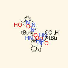 CC(C)(O)c1cccc(CN2CCN([C@H](C(=O)N[C@@H](Cc3ccccc3)[C@@H](O)CN(CC3CC3)NC(=O)[C@@H](NC(=O)O)C(C)(C)C)C(C)(C)C)C2=O)n1